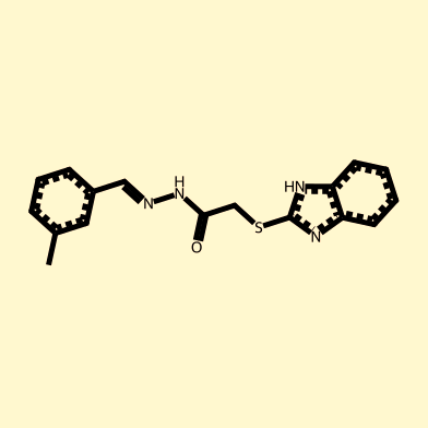 Cc1cccc(/C=N/NC(=O)CSc2nc3ccccc3[nH]2)c1